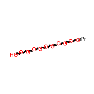 CCCOCCOCCOCCOCCOCCOCCOCCOCCOCCOCCO